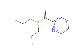 C=C(c1ccccn1)P(CCC)CCC